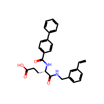 C=Cc1cccc(CNC(=O)[C@H](CCC(=O)O)NC(=O)c2ccc(-c3ccccc3)cc2)c1